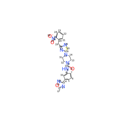 Cc1nc(-c2cccc(NC(=O)N3CCN(c4nc(Cc5ccccc5[N+](=O)[O-])ns4)CC3)c2)no1